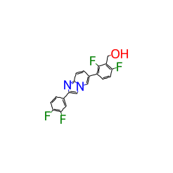 OCc1c(F)ccc(-c2ccc3nc(-c4ccc(F)c(F)c4)cn3c2)c1F